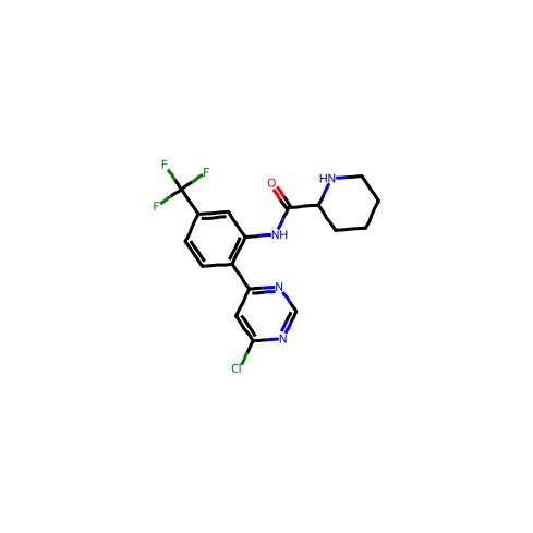 O=C(Nc1cc(C(F)(F)F)ccc1-c1cc(Cl)ncn1)C1CCCCN1